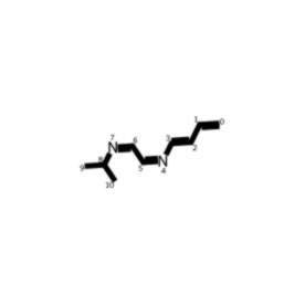 C=C/C=C/N=C\C=N/C(C)C